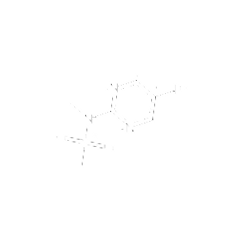 CN(c1ncc(Br)cn1)S(C)(=O)=O